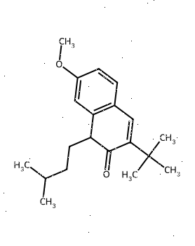 COc1ccc2c(c1)C(CCC(C)C)C(=O)C(C(C)(C)C)=C2